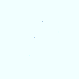 Cc1c[nH]nc1C.Nc1cccc(N)n1